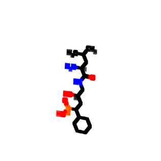 CC(C)C[C@H](N)C(=O)NC[C@H](O)CC(C1CCCCC1)[PH](=O)O